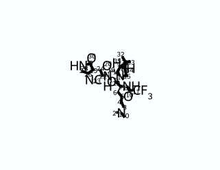 CN(C)CCCC[C@H](NC(=O)C(F)(F)F)C(=O)N1C[C@H]2[C@@H]([C@H]1C(=O)N[C@H](C#N)C[C@@H]1CCNC1=O)C2(C)C